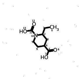 CCC1CC(C(=O)O)CCN1C(=O)O